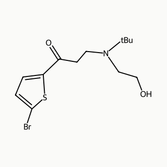 CC(C)(C)N(CCO)CCC(=O)c1ccc(Br)s1